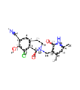 COc1c(C#N)cc2c(c1Cl)C(=O)N(Cc1c(C)cc(C)[nH]c1=O)CC2